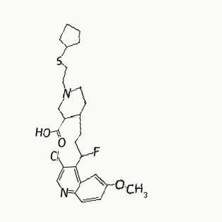 COc1ccc2ncc(Cl)c(C(F)CCC3CCN(CCSC4CCCC4)CC3C(=O)O)c2c1